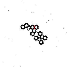 c1ccc(N(c2ccc3c(c2)C2(c4ccccc4-c4ccccc42)c2ccccc2-3)c2ccccc2-c2cccc3c2oc2c4ccccc4ccc32)cc1